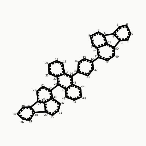 c1ccc2c(c1)-c1cccc3c(-c4ccc(-c5c6ccccc6c(-c6ccc7c8c(cccc68)-c6ccccc6-7)c6ccccc56)cc4)ccc-2c13